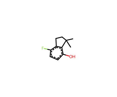 CC1(C)CCc2c(F)ccc(O)c21